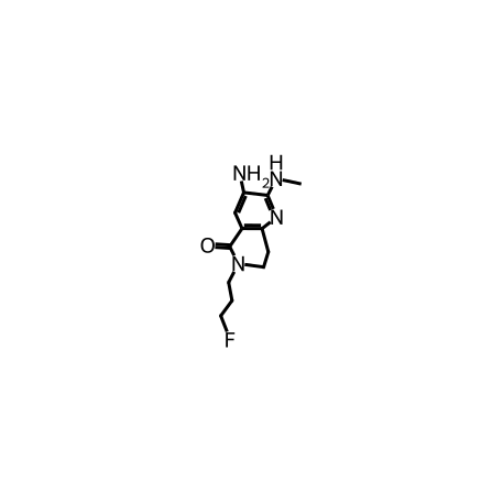 CNc1nc2c(cc1N)C(=O)N(CCCF)CC2